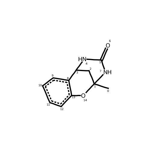 CC12CC(NC(=O)N1)c1ccccc1O2